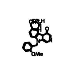 COc1ccccc1CN1C2=CN=CC(=O)C2c2c1ccc(CC(=O)O)c2NC=O